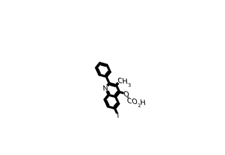 Cc1c(-c2ccccc2)nc2ccc(I)cc2c1OC(=O)O